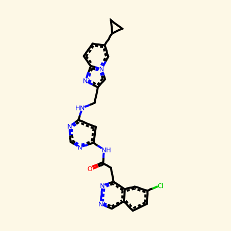 O=C(Cc1nncc2ccc(Cl)cc12)Nc1cc(NCc2cn3cc(C4CC4)ccc3n2)ncn1